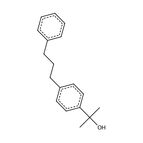 CC(C)(O)c1ccc(CCCc2ccccc2)cc1